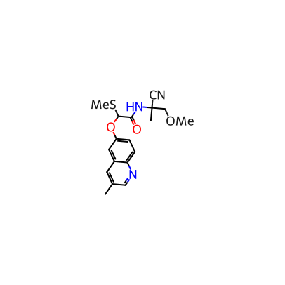 COCC(C)(C#N)NC(=O)C(Oc1ccc2ncc(C)cc2c1)SC